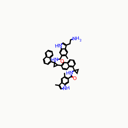 Cc1cc2c(C)c[nH]c2cc1C(=O)NC1(c2cccc3cc(C4CC4(NC(=O)c4cc5[nH]cc(CCN)c5cc4C)c4cccc5ccccc45)ccc23)CC1